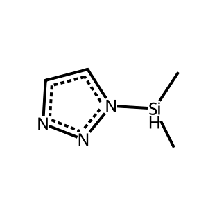 C[SiH](C)n1ccnn1